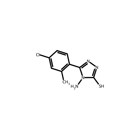 Cc1cc(Cl)ccc1-c1nnc(S)n1N